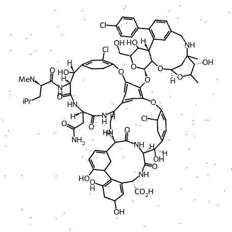 CN[C@H](CC(C)C)C(=O)N[C@H]1C(=O)N[C@@H](CC(N)=O)C(=O)N[C@H]2CN[C@H]3C(=O)N[C@H](C(=O)N[C@H](C(=O)O)C4=CC(O)CC(O)=C4C4CC3=CC=C4O)[C@H](O)C3=CC=C(Oc4cc2cc(c4O[C@H]2OC(CO)C(O)[C@@H]4c5cc(ccc5-c5ccc(Cl)cc5)CNC5(C)C[C@H](OC24)OC(C)[C@H]5O)OC2=C(Cl)C=C(CC2)[C@H]1O)C(Cl)C3